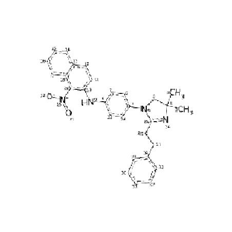 CC1(C)CN(c2ccc(Nc3ccc4ccccc4c3[N+](=O)[O-])cc2)C(CCc2ccccc2)=N1